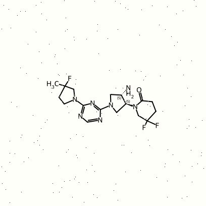 CC1(F)CCN(c2ncnc(N3C[C@H](N)[C@@H](N4CC(F)(F)CCC4=O)C3)n2)C1